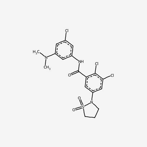 CN(C)c1cc(Cl)cc(NC(=O)c2cc(N3CCCS3(=O)=O)cc(Cl)c2Cl)c1